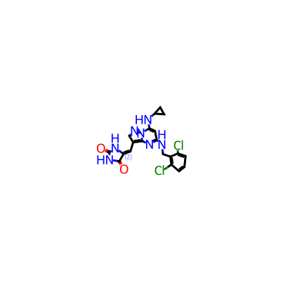 O=C1NC(=O)/C(=C/c2cnn3c(NC4CC4)cc(NCc4c(Cl)cccc4Cl)nc23)N1